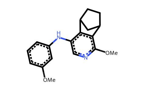 COc1cccc(Nc2cnc(OC)c3c2C2CCC3C2)c1